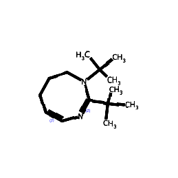 CC(C)(C)/C1=N/C=C\CCCN1C(C)(C)C